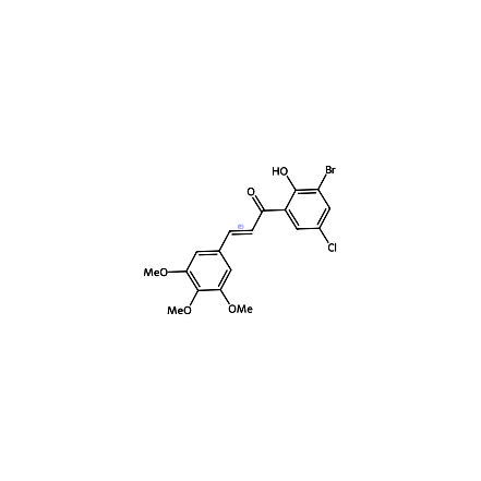 COc1cc(/C=C/C(=O)c2cc(Cl)cc(Br)c2O)cc(OC)c1OC